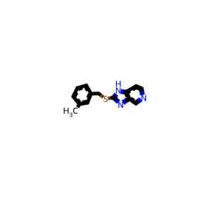 Cc1cccc(CSc2nc3cnccc3[nH]2)c1